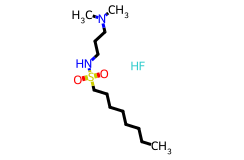 CCCCCCCCS(=O)(=O)NCCCN(C)C.F